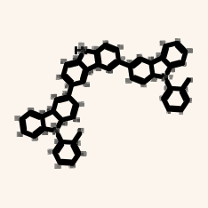 Cc1ccccc1N1c2ccccc2C2C=C(c3ccc4[nH]c5ccc(C6=CC7c8ccccc8N(c8ccccc8C)C7C=C6)cc5c4c3)C=CC21